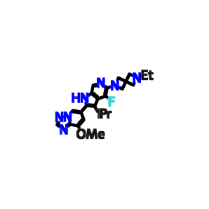 CCN1CC2(C1)CN(c1ncc3[nH]c(-c4cc(OC)c5ncnn5c4)c(C(C)C)c3c1F)C2